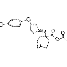 CC(=O)OC(=O)C1(C[SH]2C=CC(Oc3ccc(Cl)cc3)=C2)CCOCC1